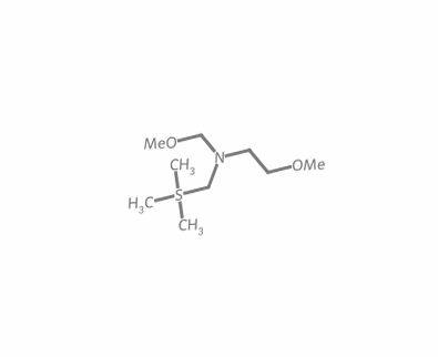 COCCN(COC)CS(C)(C)C